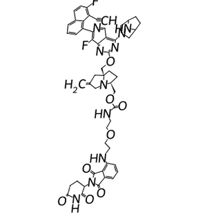 C#Cc1c(F)ccc2cccc(-c3ncc4c(N5CC6CCC(C5)N6)nc(OC[C@@]56CC[C@@H](COC(=O)NCCOCCNc7cccc8c7C(=O)N(C7CCC(=O)NC7=O)C8=O)N5CC(=C)C6)nc4c3F)c12